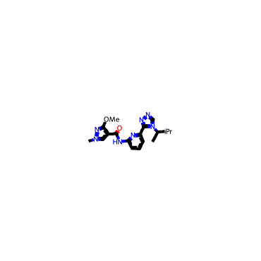 COc1nn(C)cc1C(=O)Nc1cccc(-c2nncn2C(C)C(C)C)n1